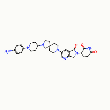 Nc1ccc(N2CCC(N3CCC4(CCN(c5cnc6c(c5)C(=O)N(C5CCC(=O)NC5=O)C6)CC4)C3)CC2)cc1